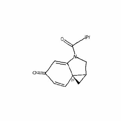 CC(C)C(=O)N1CC2C[C@]23C=CC(=O)C=C13